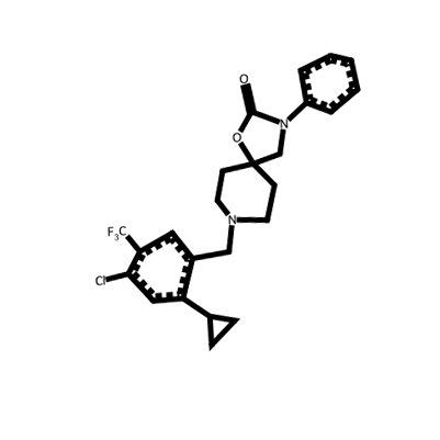 O=C1OC2(CCN(Cc3cc(C(F)(F)F)c(Cl)cc3C3CC3)CC2)CN1c1ccccc1